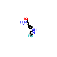 NC(CO)CCc1ccc(Nc2ccc(C(F)(F)F)cn2)cc1